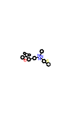 C1=Cc2c(sc3cc(-c4nc(-c5ccccc5)nc(-c5ccc(-c6ccc7c(c6)C6(c8ccccc8O7)c7ccccc7-c7ccccc76)cc5)n4)ccc23)CC1